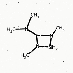 CN(C)C1N(C)[SiH2]N1C